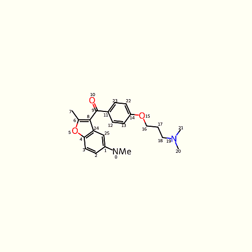 CNc1ccc2oc(C)c(C(=O)c3ccc(OCCCN(C)C)cc3)c2c1